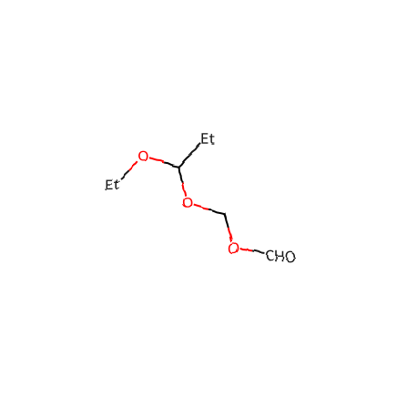 CCOC(CC)OCOC=O